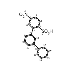 O=[N+]([O-])c1ccc(S(=O)(=O)O)c(-c2cccc(-c3ccccc3)c2)c1